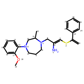 C=C(S/C=C(\N)CN1CCCN(c2ccccc2OC)CC1C)c1ccccc1